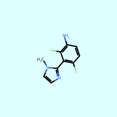 Cn1ccnc1-c1c(F)ccc(N)c1F